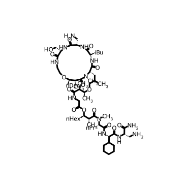 CCCCCCCCCC[C@H]1OCCNC(=O)[C@H](CO)NC(=O)[C@H](CN)NC(=O)[C@H]([C@H](C)CC)NC(=O)[C@H](CC(C)CO[C@@H](C)[C@H](C)C(=O)NCC(=O)O[C@H](CCCCCC)[C@@H](C)C(=O)N(C)[C@@H](CCC)C(=O)N[C@H](C(=O)N[C@@H](CN)C(N)=O)C2CCCCC2)N(C)C(=O)[C@@H]1C